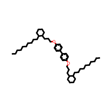 CCCCCCCCCCC1CCCCC1CCCOc1ccc(-c2ccc(OCCCC3CCCCC3CCCCCCCCCC)cc2)cc1